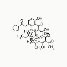 CCC(=O)O[C@@H]1[C@]2(C)C(=C(O)[C@@]3(O)C(=O)C(C(C)=O)=C(O)C(C(C)C)[C@@]13C)C(=O)c1c(O)ccc(CC(=O)C3CCCC3)c1[C@H]2C